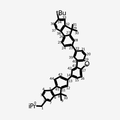 CC(C)Cc1ccc2c(c1)C(C)(C)c1cc(-c3ccc4oc5ccc(-c6ccc7c(c6)C(C)(C)c6cc(C(C)(C)C)ccc6-7)cc5c4c3)ccc1-2